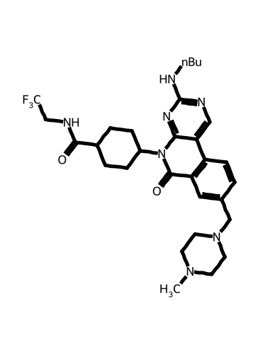 CCCCNc1ncc2c3ccc(CN4CCN(C)CC4)cc3c(=O)n(C3CCC(C(=O)NCC(F)(F)F)CC3)c2n1